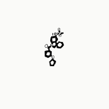 CS(=O)(=O)Nc1ccc2c(c1)C1(CCCCC1)CN2C(=O)c1cccc(OC2CCCC2)c1